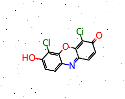 O=c1ccc2nc3ccc(O)c(Cl)c3oc-2c1Cl